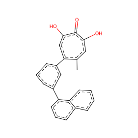 Cc1cc(O)c(=O)c(O)cc1-c1cccc(-c2cccc3ccccc23)c1